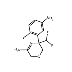 NC1=NC(c2cc([N+](=O)[O-])ccc2F)(C(F)F)COC1